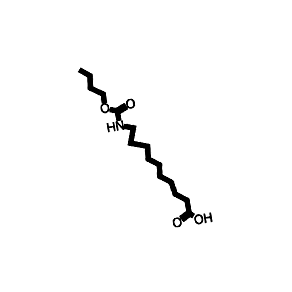 CCCCOC(=O)NCCCCCCCCCC(=O)O